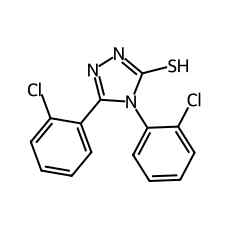 Sc1nnc(-c2ccccc2Cl)n1-c1ccccc1Cl